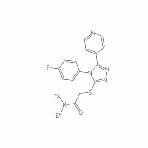 CCN(CC)C(=O)CSc1nnc(-c2ccncc2)n1-c1ccc(F)cc1